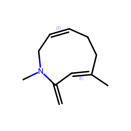 C=C1/C=C(\C)CC/C=C\CN1C